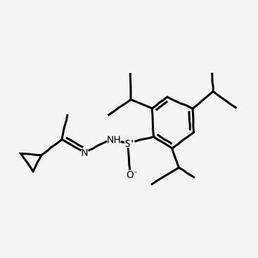 C/C(=N\N[S+]([O-])c1c(C(C)C)cc(C(C)C)cc1C(C)C)C1CC1